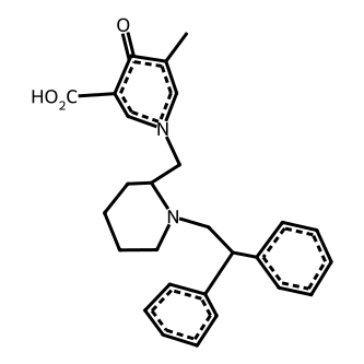 Cc1cn(CC2CCCCN2CC(c2ccccc2)c2ccccc2)cc(C(=O)O)c1=O